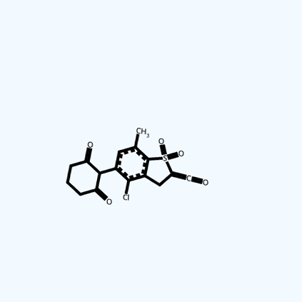 Cc1cc(C2C(=O)CCCC2=O)c(Cl)c2c1S(=O)(=O)C(=C=O)C2